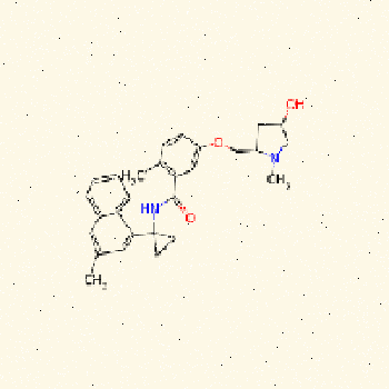 Cc1cc(C2(NC(=O)c3cc(OC[C@H]4CC(O)CN4C)ccc3C)CC2)c2ccccc2c1